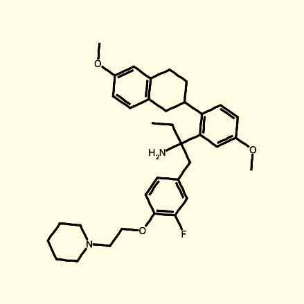 CCC(N)(Cc1ccc(OCCN2CCCCC2)c(F)c1)c1cc(OC)ccc1C1CCc2cc(OC)ccc2C1